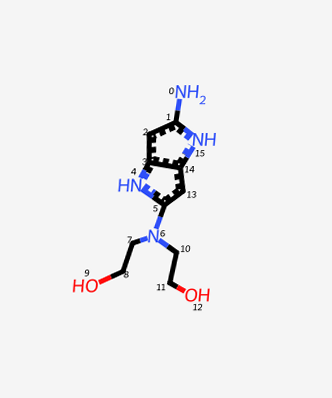 Nc1cc2[nH]c(N(CCO)CCO)cc2[nH]1